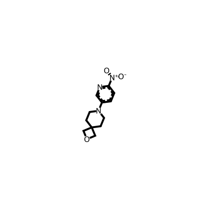 O=[N+]([O-])c1ccc(N2CCC3(CC2)COC3)cn1